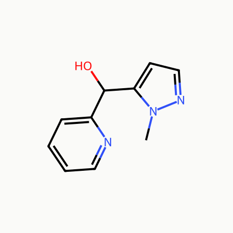 Cn1nccc1C(O)c1ccccn1